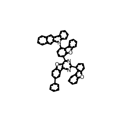 c1ccc(-c2ccc3oc4c(-c5ccc(-n6c7ccccc7c7cc8ccccc8cc76)c6c5oc5ccccc56)nc(-c5cccc6oc7ccccc7c56)nc4c3c2)cc1